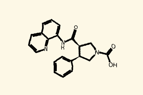 O=C(Nc1cccc2cccnc12)[C@H]1CN(C(=O)O)C[C@H]1c1ccccc1